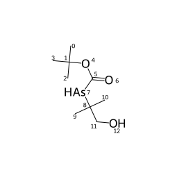 CC(C)(C)OC(=O)[AsH]C(C)(C)CO